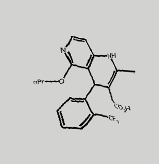 CCCOc1nccc2c1C(c1ccccc1C(F)(F)F)C(C(=O)O)=C(C)N2